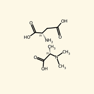 C[C@@H](C(=O)O)N(C)C.N[C@@H](CC(=O)O)C(=O)O